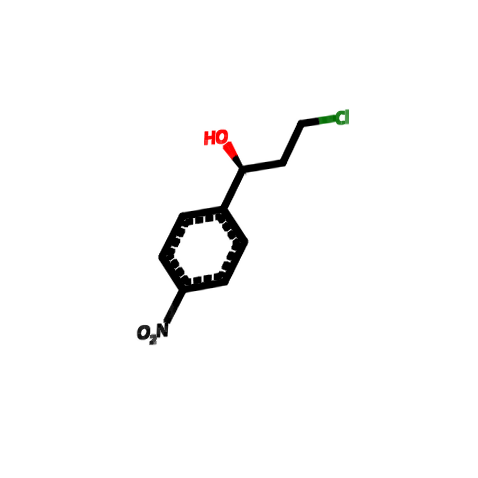 O=[N+]([O-])c1ccc([C@@H](O)CCCl)cc1